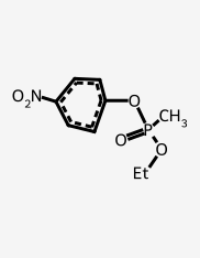 CCOP(C)(=O)Oc1ccc([N+](=O)[O-])cc1